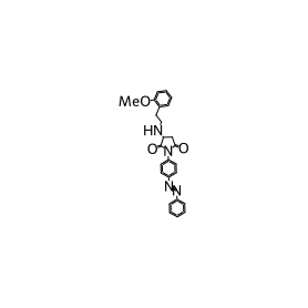 COc1ccccc1CCN[C@@H]1CC(=O)N(c2ccc(/N=N/c3ccccc3)cc2)C1=O